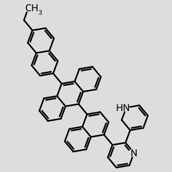 CCc1ccc2cc(-c3c4ccccc4c(-c4ccc(-c5cccnc5C5=CC=CNC5)c5ccccc45)c4ccccc34)ccc2c1